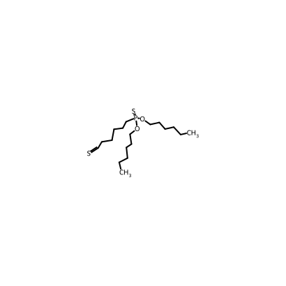 CCCCCCOP(=S)(CCCCCC=S)OCCCCCC